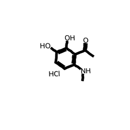 CNc1ccc(O)c(O)c1C(C)=O.Cl